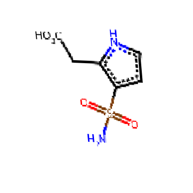 NS(=O)(=O)c1cc[nH]c1CC(=O)O